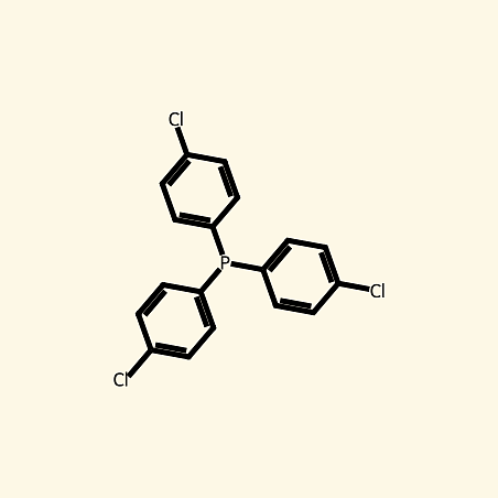 Clc1ccc(P(c2ccc(Cl)cc2)c2ccc(Cl)cc2)cc1